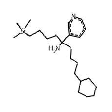 C[Si](C)(C)CCCCC(N)(CCCCC1CCCCC1)c1cccnc1